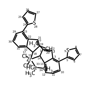 CC1=Cc2c(-c3cccs3)cccc2[CH]1[Zr]([Cl])([Cl])([CH]1C(C)=Cc2c(-c3cccs3)cccc21)[GeH]([CH3])[CH3]